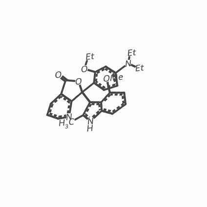 CCOc1cc(N(CC)CC)ccc1C1(c2c(C)[nH]c3cccc(OC)c23)OC(=O)c2cccnc21